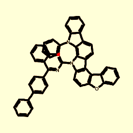 c1ccc(-c2ccc(-c3nc(-n4c5ccc6oc7ccccc7c6c5c5ccc6c7ccccc7n(-c7ccccc7)c6c54)nc4ccccc34)cc2)cc1